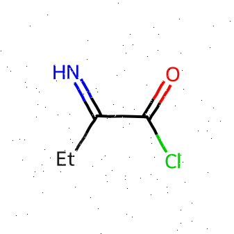 CCC(=N)C(=O)Cl